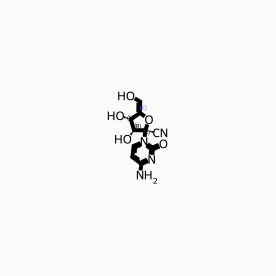 N#C[C@@]1(n2ccc(N)nc2=O)O/C(=C/O)[C@@H](O)[C@H]1O